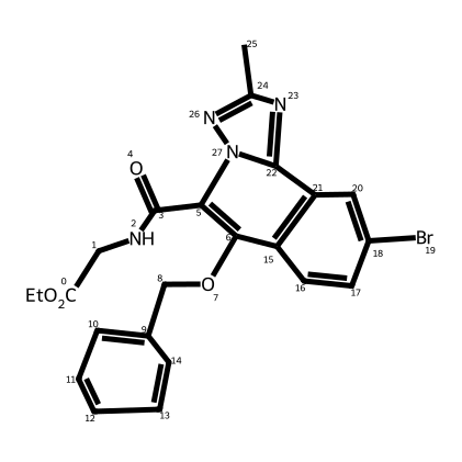 CCOC(=O)CNC(=O)c1c(OCc2ccccc2)c2ccc(Br)cc2c2nc(C)nn12